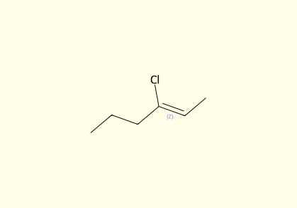 C/C=C(\Cl)CCC